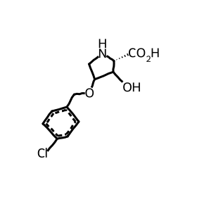 O=C(O)[C@H]1NCC(OCc2ccc(Cl)cc2)C1O